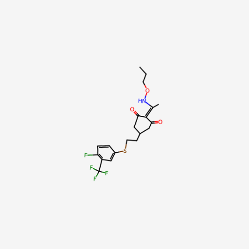 CCCONC(C)=C1C(=O)CC(CCSc2ccc(F)c(C(F)(F)F)c2)CC1=O